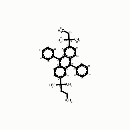 CCCC(C)(C)c1ccc2c(-c3ccccc3)c3cc(C(C)(C)CC)ccc3c(-c3ccccc3)c2c1